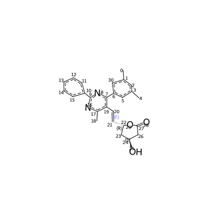 Cc1cc(C)cc(-c2nc(-c3ccccc3)nc(C)c2/C=C/[C@H]2C[C@H](O)CC(=O)O2)c1